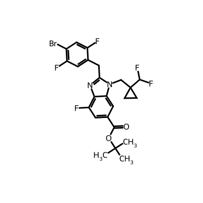 CC(C)(C)OC(=O)c1cc(F)c2nc(Cc3cc(F)c(Br)cc3F)n(CC3(C(F)F)CC3)c2c1